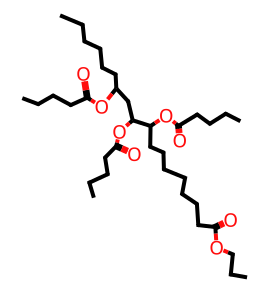 CCCCCCC(CC(OC(=O)CCCC)C(CCCCCCCC(=O)OCCC)OC(=O)CCCC)OC(=O)CCCC